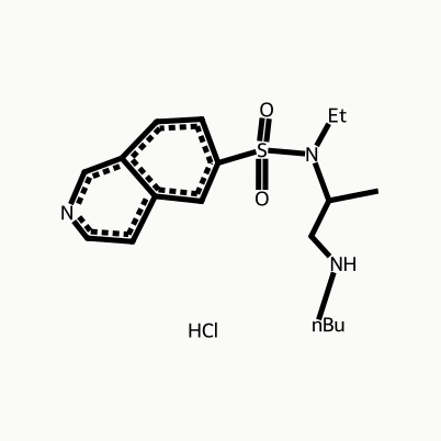 CCCCNCC(C)N(CC)S(=O)(=O)c1ccc2cnccc2c1.Cl